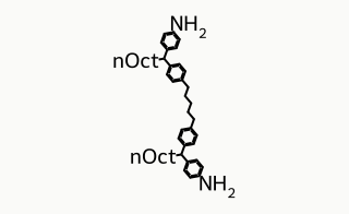 CCCCCCCCC(c1ccc(N)cc1)c1ccc(CCCCCc2ccc(C(CCCCCCCC)c3ccc(N)cc3)cc2)cc1